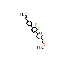 C/C=C/c1ccc(-c2ccc(C3CCC(CCOC)CO3)c(F)c2F)c(F)c1